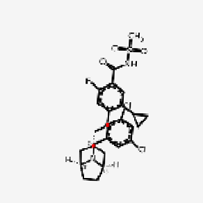 CS(=O)(=O)NC(=O)c1cc(C2CC2)c(OC[C@@H]2C[C@H]3CC[C@@H](C2)N3Cc2cc(Cl)cc(Cl)c2)cc1F